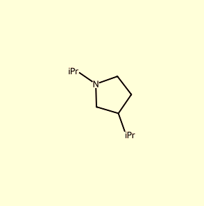 CC(C)C1CCN(C(C)C)C1